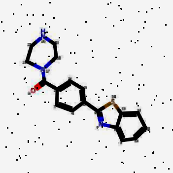 O=C(c1ccc(-c2nc3ccccc3s2)cc1)N1CCNCC1